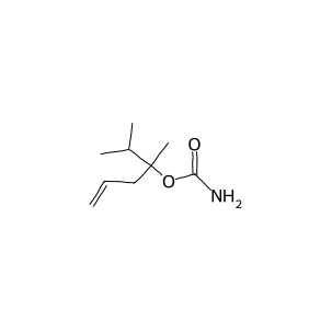 C=CCC(C)(OC(N)=O)C(C)C